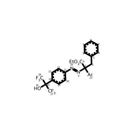 CCOC(=O)C(Cc1ccccc1)(N=Nc1ccc(C(O)(C(F)(F)F)C(F)(F)F)cc1)C(C)=O